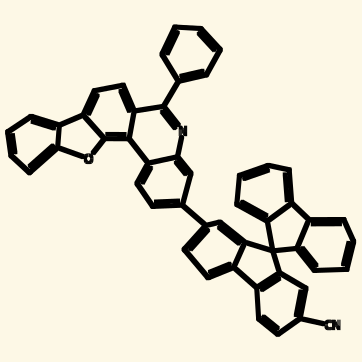 N#Cc1ccc2c(c1)C1(c3ccccc3-c3ccccc31)c1cc(-c3ccc4c(c3)nc(-c3ccccc3)c3ccc5c6ccccc6oc5c34)ccc1-2